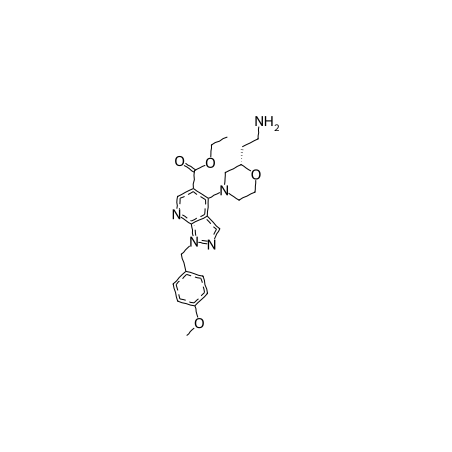 CCOC(=O)c1cnc2c(cnn2Cc2ccc(OC)cc2)c1N1CCO[C@@H](CCN)C1